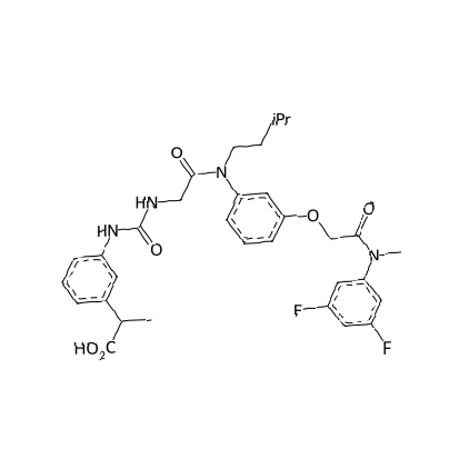 CC(C)CCN(C(=O)CNC(=O)Nc1cccc(C(C)C(=O)O)c1)c1cccc(OCC(=O)N(C)c2cc(F)cc(F)c2)c1